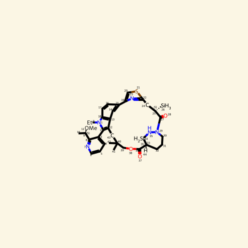 CCn1c(-c2cccnc2[C@H](C)OC)c2c3cc(ccc31)-c1csc(n1)C[C@H]([SiH3])C(=O)N1CCC[C@H]([SiH2]N1)C(=O)OCC(C)(C)C2